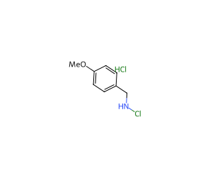 COc1ccc(CNCl)cc1.Cl